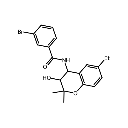 CCc1ccc2c(c1)C(NC(=O)c1cccc(Br)c1)C(O)C(C)(C)O2